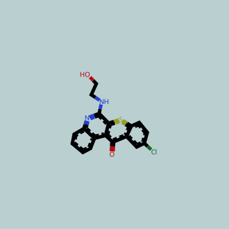 O=c1c2cc(Cl)ccc2sc2c(NCCO)nc3ccccc3c12